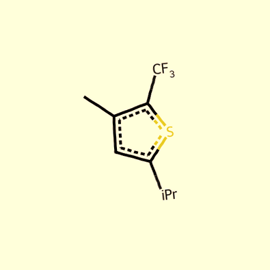 Cc1cc(C(C)C)sc1C(F)(F)F